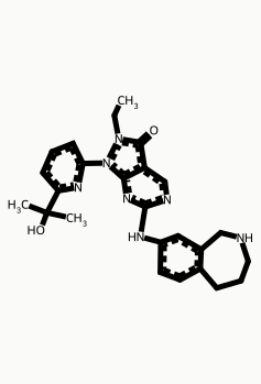 CCn1c(=O)c2cnc(Nc3ccc4c(c3)CNCCC4)nc2n1-c1cccc(C(C)(C)O)n1